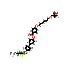 CC1(COCCCCCCOc2ccc(C(=O)Oc3ccc(-c4ccc(OC(F)(F)C(F)(F)C(F)(F)C(F)(F)F)cc4)cc3)cc2)COC1